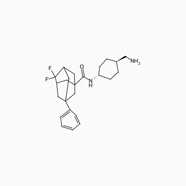 NC[C@H]1CC[C@H](NC(=O)C23CC4CC(c5ccccc5)(CC(C2)C4(F)F)C3)CC1